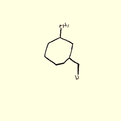 [Li][CH2]C1CCCC(C)C1